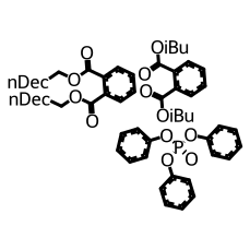 CC(C)COC(=O)c1ccccc1C(=O)OCC(C)C.CCCCCCCCCCCOC(=O)c1ccccc1C(=O)OCCCCCCCCCCC.O=P(Oc1ccccc1)(Oc1ccccc1)Oc1ccccc1